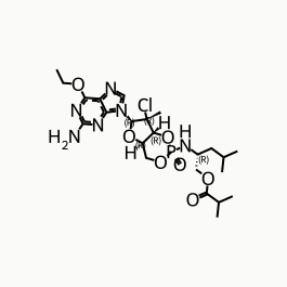 CCOc1nc(N)nc2c1ncn2[C@@H]1O[C@@H]2COP(=O)(N[C@@H](COC(=O)C(C)C)CC(C)C)O[C@H]2[C@@]1(C)Cl